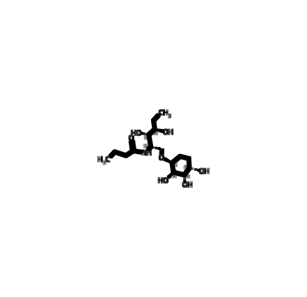 CCCC(=O)N[C@@H](CO[C@H]1CC[C@H](O)[C@H](O)[C@H]1O)[C@H](O)[C@H](O)CC